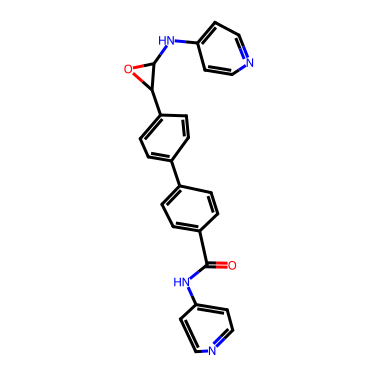 O=C(Nc1ccncc1)c1ccc(-c2ccc(C3OC3Nc3ccncc3)cc2)cc1